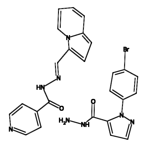 NNC(=O)c1ccnn1-c1ccc(Br)cc1.O=C(NN=Cc1ccc2ccccn12)c1ccncc1